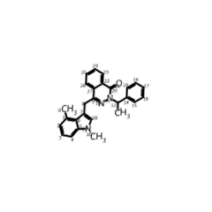 Cc1cccc2c1c(Cc1nn(C(C)c3ccccc3)c(=O)c3ccccc13)cn2C